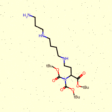 CC(C)(C)OC(=O)C(CCNCCCCNCCCN)N(C(=O)OC(C)(C)C)C(=O)OC(C)(C)C